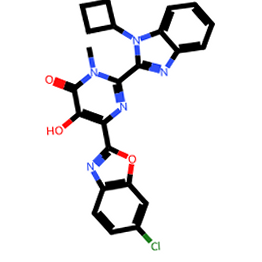 Cn1c(-c2nc3ccccc3n2C2CCC2)nc(-c2nc3ccc(Cl)cc3o2)c(O)c1=O